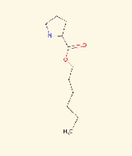 CCCCCCOC(=O)C1CCC[N]1